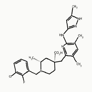 Cc1cc(Nc2nc(C[C@@]3(C(=O)O)CCN(Cc4cccc(Cl)c4F)[C@H](C)C3)c(C)cc2C)n[nH]1